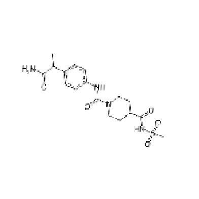 CC(C(N)=O)c1ccc(NC(=O)N2CCC(C(=O)NS(C)(=O)=O)CC2)cc1